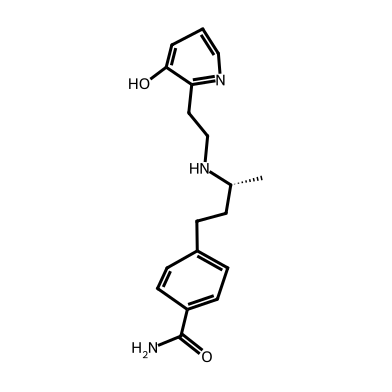 C[C@H](CCc1ccc(C(N)=O)cc1)NCCc1ncccc1O